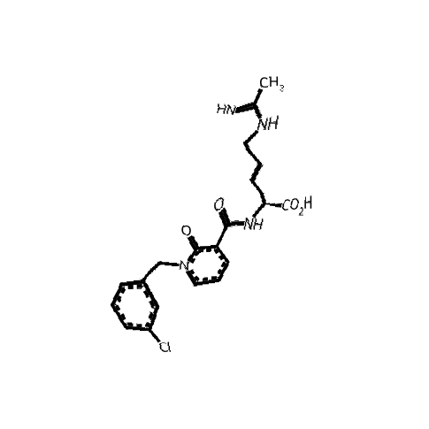 CC(=N)NCCC[C@H](NC(=O)c1cccn(Cc2cccc(Cl)c2)c1=O)C(=O)O